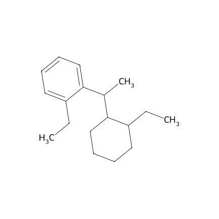 CCc1ccccc1C(C)C1CCCCC1CC